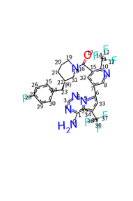 Nc1ncnn2c(-c3cnc(C(F)(F)F)c(C(=O)N4CCC[C@H](Cc5ccc(F)cc5)C4)c3)cc(C(F)(F)F)c12